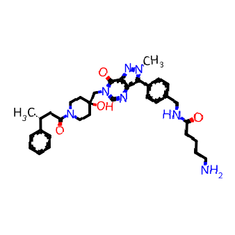 C[C@H](CC(=O)N1CCC(O)(Cn2cnc3c(-c4ccc(CNC(=O)CCCCN)cc4)n(C)nc3c2=O)CC1)c1ccccc1